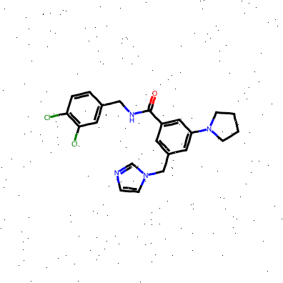 O=C(NCc1ccc(Cl)c(Cl)c1)c1cc(Cn2ccnc2)cc(N2CCCC2)c1